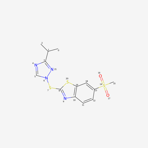 CC(C)c1ncn(Sc2nc3ccc(S(C)(=O)=O)cc3s2)n1